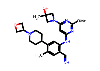 COc1nc(Nc2cc(C3CCN(C4COC4)CC3)c(C)cc2C=N)cc(N2CC(C)(O)C2)n1